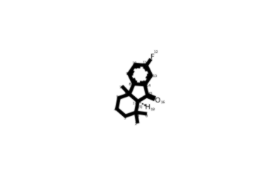 CC1(C)CCCC2(C)c3ccc(F)cc3C(=O)[C@@H]12